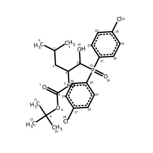 CC(C)CC(NC(=O)OC(C)(C)C)C(O)P(=O)(c1ccc(Cl)cc1)c1ccc(Cl)cc1